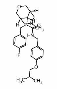 CC(C)COc1ccc(CNC(=O)N(Cc2ccc(F)cc2)[C@H]2[C@@H]3COC[C@H]2CN(C)C3)cc1